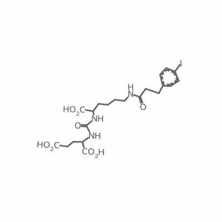 O=C(O)CCC(NC(=O)NC(CCCCNC(=O)CCc1ccc(I)cc1)C(=O)O)C(=O)O